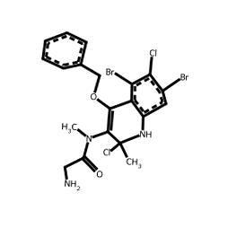 CN(C(=O)CN)C1=C(OCc2ccccc2)c2c(cc(Br)c(Cl)c2Br)NC1(C)Cl